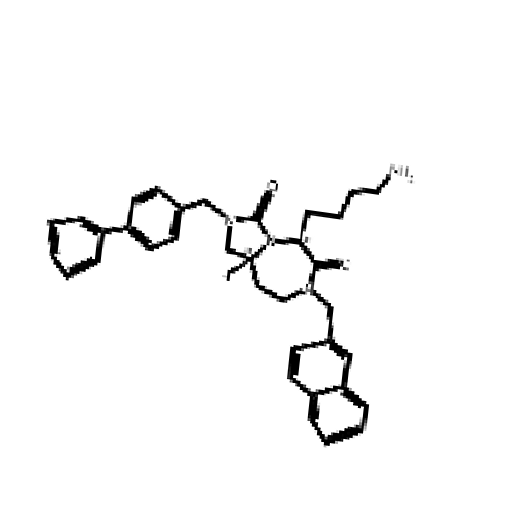 NCCCC[C@H]1C(=O)N(Cc2ccc3ccccc3c2)CC[C@@H]2CN(Cc3ccc(-c4ccccc4)cc3)C(=O)N21